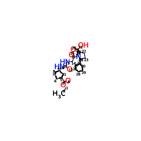 CCOC(=O)c1cccc(NC(=O)NCC(=O)N2[C@@H](C(=O)O)CC[C@H]2c2ccccc2)c1